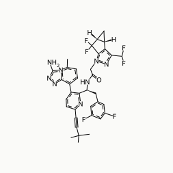 Cc1ccc(-c2ccc(C#CC(C)(C)C)nc2[C@H](Cc2cc(F)cc(F)c2)NC(=O)Cn2nc(C(F)F)c3c2C(F)(F)[C@@H]2C[C@H]32)c2nnc(N)n12